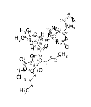 CCCCOP(=O)(OCCCC)C(OC[C@H]1O[C@@H](n2cnc3c(-n4ccnc4)nc(Cl)nc32)[C@@H]2OC(C)(C)O[C@@H]21)C(=O)OCC